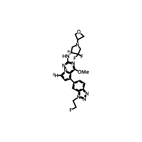 [2H]c1cc(-c2ccc3nnn(CCF)c3c2)c2c(OC)nc(N[C@@H]3CN(C4COC4)CC3(F)F)nn12